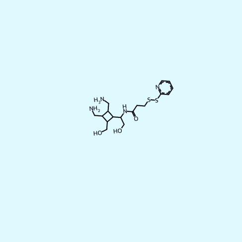 NCC1C(CN)C(C(CO)NC(=O)CCSSc2ccccn2)C1CO